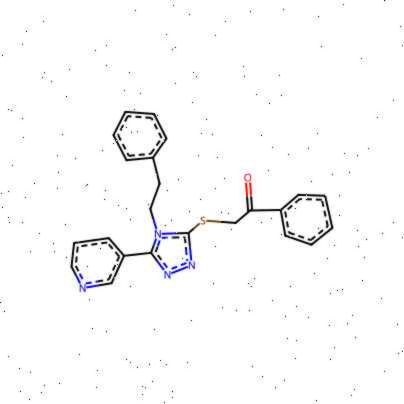 O=C(CSc1nnc(-c2cccnc2)n1CCc1ccccc1)c1ccccc1